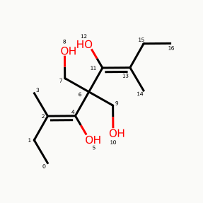 CCC(C)=C(O)C(CO)(CO)C(O)=C(C)CC